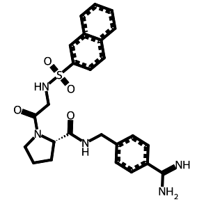 N=C(N)c1ccc(CNC(=O)[C@@H]2CCCN2C(=O)CNS(=O)(=O)c2ccc3ccccc3c2)cc1